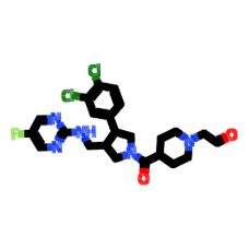 O=CCN1CCC(C(=O)N2CC(CNc3ncc(F)cn3)C(c3ccc(Cl)c(Cl)c3)C2)CC1